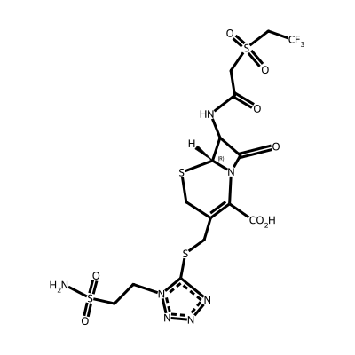 NS(=O)(=O)CCn1nnnc1SCC1=C(C(=O)O)N2C(=O)C(NC(=O)CS(=O)(=O)CC(F)(F)F)[C@H]2SC1